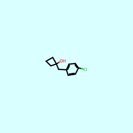 OC1(Cc2ccc(Cl)cc2)CCC1